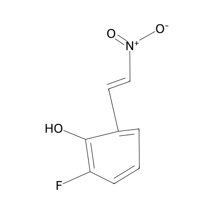 O=[N+]([O-])/C=C/c1cccc(F)c1O